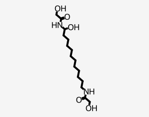 O=C(CO)NCCCCCCCCCCCC(O)NC(=O)CO